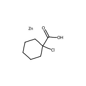 O=C(O)C1(Cl)CCCCC1.[Zn]